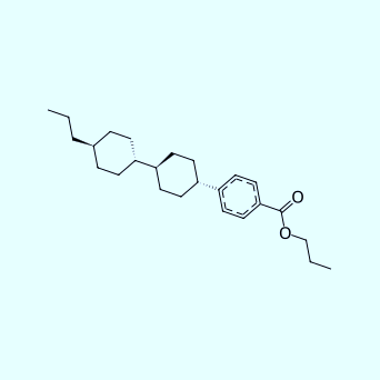 CCCOC(=O)c1ccc([C@H]2CC[C@H]([C@H]3CC[C@H](CCC)CC3)CC2)cc1